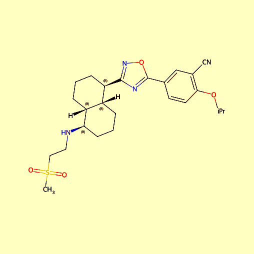 CC(C)Oc1ccc(-c2nc([C@@H]3CCC[C@@H]4[C@H]3CCC[C@H]4NCCS(C)(=O)=O)no2)cc1C#N